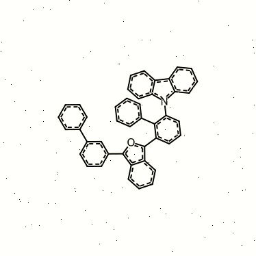 c1ccc(-c2cccc(-c3oc(-c4cccc(-n5c6ccccc6c6ccccc65)c4-c4ccccc4)c4ccccc34)c2)cc1